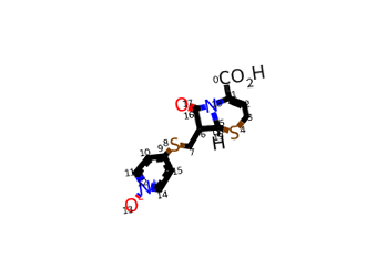 O=C(O)C1=CCS[C@H]2C(CSc3cc[n+]([O-])cc3)C(=O)N12